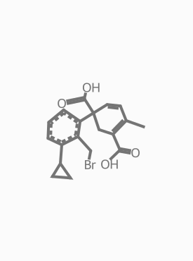 CC1=C(C(=O)O)CC(C(=O)O)(c2cccc(C3CC3)c2CBr)C=C1